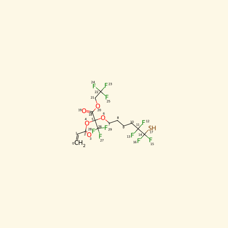 C=CC(=O)OC(OCCCCC(F)(F)C(F)(F)S)(C(=O)OCC(F)(F)F)C(F)(F)F